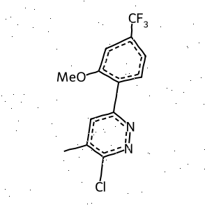 COc1cc(C(F)(F)F)ccc1-c1cc(C)c(Cl)nn1